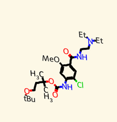 CCN(CC)CCNC(=O)c1cc(Cl)c(NC(=O)OC(C)(C)CCOC(C)(C)C)cc1OC